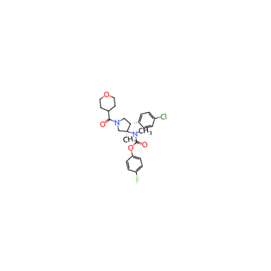 CN(C(=O)Oc1ccc(F)cc1)[C@@]1(C)CN(C(=O)C2CCOCC2)C[C@@H]1c1ccc(Cl)cc1